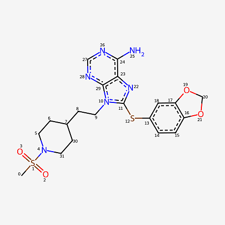 CS(=O)(=O)N1CCC(CCn2c(Sc3ccc4c(c3)OCO4)nc3c(N)ncnc32)CC1